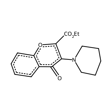 CCOC(=O)c1oc2ccccc2c(=O)c1N1CCCCC1